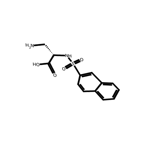 NC[C@H](NS(=O)(=O)c1ccc2ccccc2c1)C(=O)O